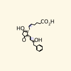 O=C(O)CCC/C=C\C[C@H]1[C@@H](O)CC(=O)[C@@H]1/C=C/[C@@H](O)Cc1ccccc1